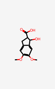 COc1cc2c(cc1OC)C(O)C(C(=O)O)C2